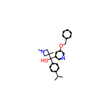 CC(C)c1ccc(C(O)(c2cncc(OCc3ccccc3)c2)C2(C)CN(C)C2)cc1